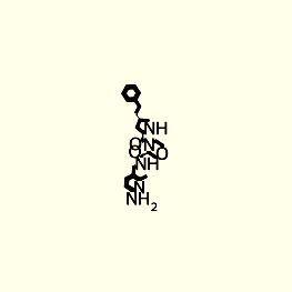 Cc1nc(N)ccc1CNC(=O)[C@@H]1COCCN1C(=O)[C@H]1C[C@H](CCc2ccccc2)CN1